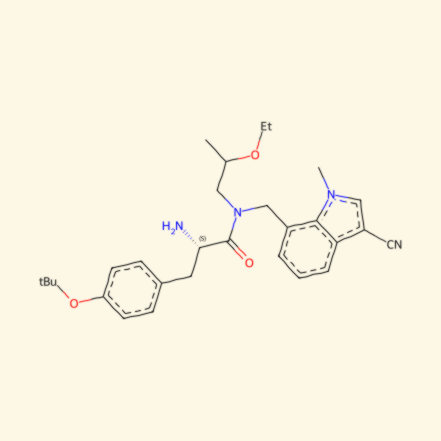 CCOC(C)CN(Cc1cccc2c(C#N)cn(C)c12)C(=O)[C@@H](N)Cc1ccc(OC(C)(C)C)cc1